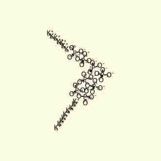 O=P([O-])([O-])OP(=O)([O-])[O-].O=P([O-])([O-])OP(=O)([O-])[O-].O=P([O-])([O-])OP(=O)([O-])[O-].O=P([O-])([O-])OP(=O)([O-])[O-].[K+].[K+].[K+].[K+].[K+].[K+].[K+].[K+].[K+].[K+].[K+].[K+].[K+].[K+].[K+].[K+]